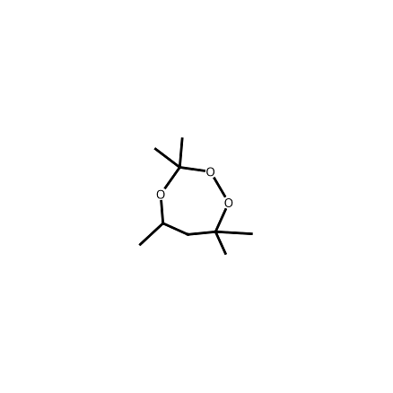 CC1CC(C)(C)OOC(C)(C)O1